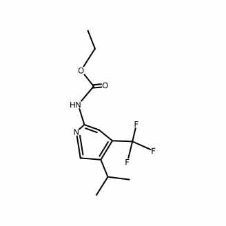 CCOC(=O)Nc1cc(C(F)(F)F)c(C(C)C)cn1